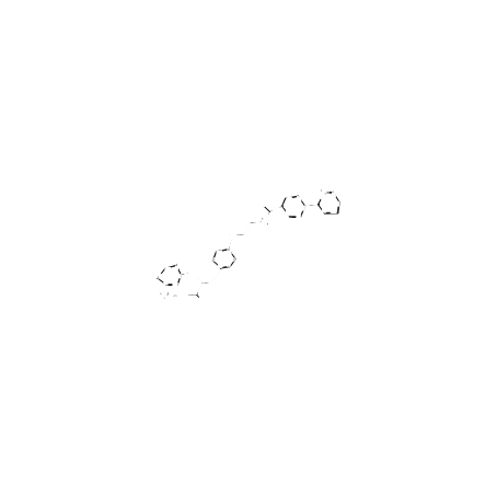 COC(=O)C(Cc1ccc(OCCNC(=O)c2ccc(-c3ccccn3)cc2)cc1)Sc1ccccc1